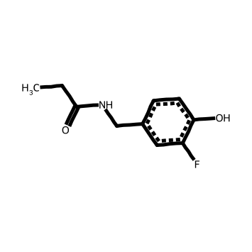 CCC(=O)NCc1ccc(O)c(F)c1